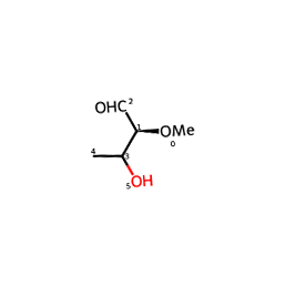 CO[C@H](C=O)C(C)O